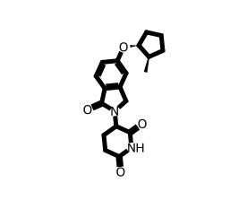 C[C@@H]1CCC[C@H]1Oc1ccc2c(c1)CN(C1CCC(=O)NC1=O)C2=O